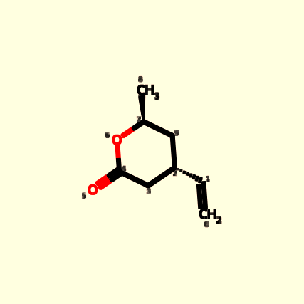 C=C[C@@H]1CC(=O)O[C@@H](C)C1